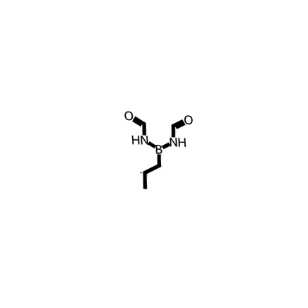 C[CH]CB(NC=O)NC=O